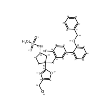 CS(=O)(=O)N[C@H]1CC[C@](Cc2cc(-c3ccccc3OCc3ccccc3)ccc2F)(c2nc(CCl)co2)C1